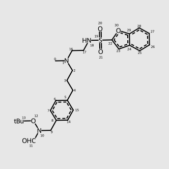 CN(CCCc1ccc(CN(C=O)OC(C)(C)C)cc1)CCNS(=O)(=O)c1cc2ccccc2o1